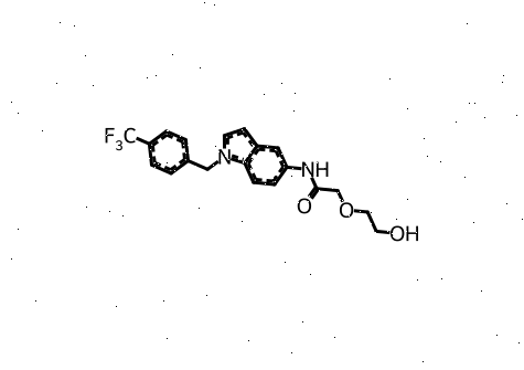 O=C(COCCO)Nc1ccc2c(ccn2Cc2ccc(C(F)(F)F)cc2)c1